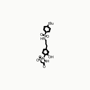 CC(C)(C)c1ccc(S(=O)(=O)NCCCc2ccc(N3NC(=O)CS3(=O)=O)c(O)c2)cc1